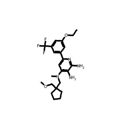 CCOc1cc(-c2cc(N(C)CC3(COC)CCCC3)c(N)c(N)n2)cc(C(F)(F)F)c1